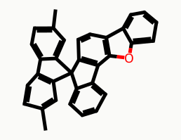 Cc1ccc2c(c1)C1(c3cc(C)ccc3-2)c2ccccc2-c2c1ccc1c2oc2ccccc21